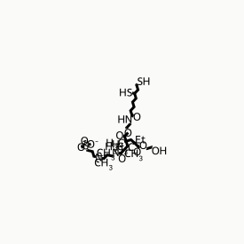 CCC(C)(CC(C)(CC(C)(C)C(=O)NCCC[N+](C)(C)CCCS(=O)(=O)[O-])C(=O)OCCNC(=O)CCCCC(S)CCS)C(=O)OCCO